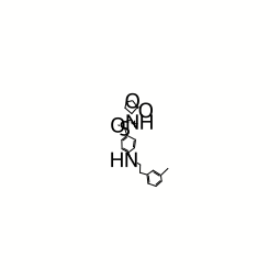 Cc1cccc(CCNc2ccc([S+]([O-])NC3CCOC3=O)cc2)c1